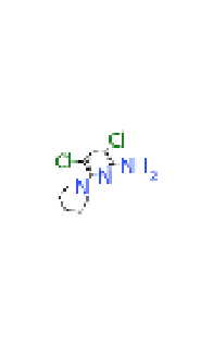 Nc1nc(N2CCCCC2)c(Cl)cc1Cl